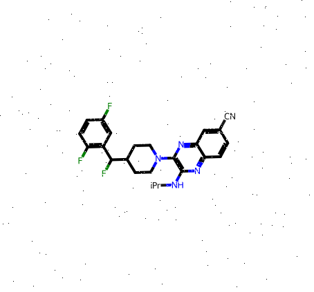 CC(C)Nc1nc2ccc(C#N)cc2nc1N1CCC(C(F)c2cc(F)ccc2F)CC1